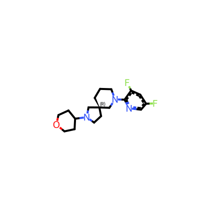 Fc1cnc(N2CCC[C@]3(CCN(C4CCOCC4)C3)C2)c(F)c1